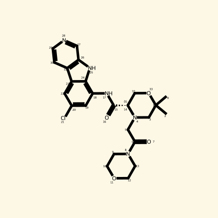 CC1(C)CN(CC(=O)N2CCOCC2)[C@H](C(=O)Nc2cc(Cl)cc3c2[nH]c2cnccc23)CO1